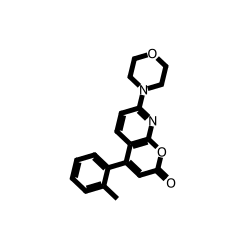 Cc1ccccc1-c1cc(=O)oc2nc(N3CCOCC3)ccc12